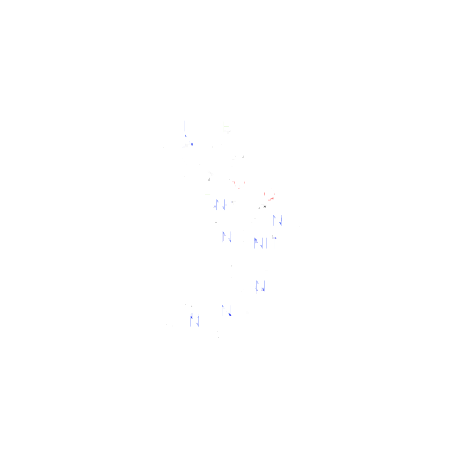 Cc1cc2c(F)c(Oc3ncnc(Nc4ccc(CN5CCN(C)CC5)nc4)c3C(=O)N(C)C)cc(F)c2[nH]1